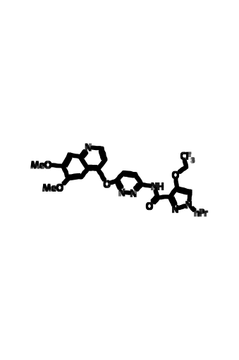 CCCn1cc(OCC(F)(F)F)c(C(=O)Nc2ccc(Oc3ccnc4cc(OC)c(OC)cc34)nn2)n1